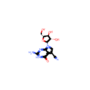 N#Cc1cn([C@@H]2O[C@H](CO)[C@@H](O)[C@@H]2O)c2nc(N)[nH]c(=O)c12